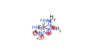 C[NH][Co]([NH]C)([NH]C)([N+](=O)[O-])([N+](=O)[O-])[N+](=O)[O-]